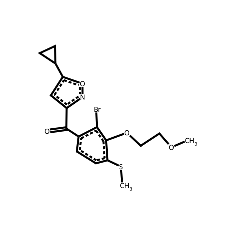 COCCOc1c(SC)ccc(C(=O)c2cc(C3CC3)on2)c1Br